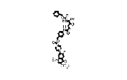 CCn1cc(C(=O)O)c(=O)c2cc(F)c(N3CCN(C(=O)OCc4ccc(NC(=O)[C@H](C)CC(=O)[C@@H](NC(=O)OCc5ccccc5)C(C)C)cc4)CC3)cc21